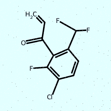 C=CC(=O)c1c(C(F)F)ccc(Cl)c1F